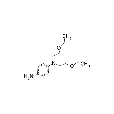 CCOCCN(CCOCC)c1ccc(N)cc1